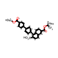 CCCCCCCCCCOC(=O)c1ccc(-c2ccc(-c3c(C(=O)O)ccc4cc(C(=O)OC(CCCCCC)C(F)(F)F)ccc34)cc2)cc1